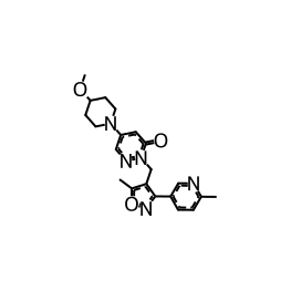 COC1CCN(c2cnn(Cc3c(-c4ccc(C)nc4)noc3C)c(=O)c2)CC1